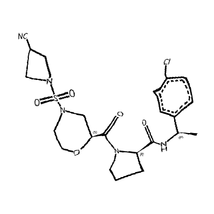 C[C@@H](NC(=O)[C@H]1CCCN1C(=O)[C@@H]1CN(S(=O)(=O)N2CC(C#N)C2)CCO1)c1ccc(Cl)cc1